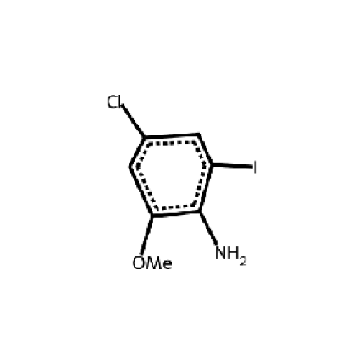 COc1cc(Cl)cc(I)c1N